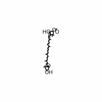 CC(=O)O[C@H]1CC(C)(C)C(=C=C/C(C)=C/C=C/C(C)=C/C=C/C=C(C)/C=C/C=C(C)/C=C/[C@@]23O[C@]2(C)C[C@@H](O)CC3(C)C)[C@](C)(O)C1